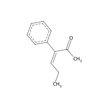 CCC=C(C(C)=O)c1ccccc1